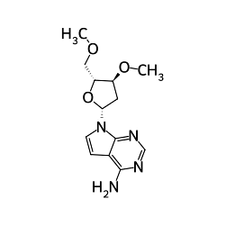 COC[C@H]1O[C@@H](n2ccc3c(N)ncnc32)C[C@@H]1OC